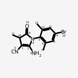 [C-]#[N+]C1=C(N)N(c2c(C)cc(Br)cc2C)C(=O)C1C